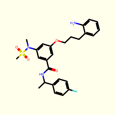 CC(NC(=O)c1cc(OCCCc2ccccc2N)cc(N(C)S(C)(=O)=O)c1)c1ccc(F)cc1